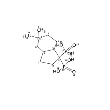 C[N+]1(C)CCC2C(CCC2(P(=O)(O)O)P(=O)(O)O)C1